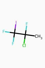 CC(F)(Cl)C(F)(F)I